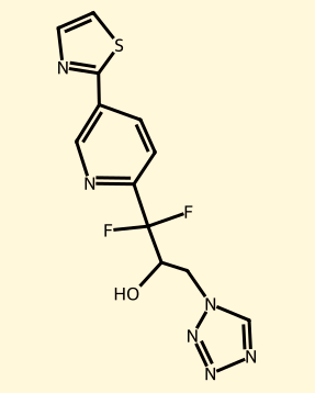 OC(Cn1cnnn1)C(F)(F)c1ccc(-c2nccs2)cn1